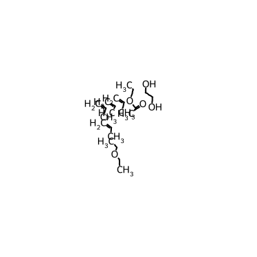 C=CC.C=CC.C=CC.C=CC.CCOC(C)=O.CCOCC.OCCO